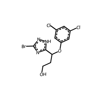 OCCC(Oc1cc(Cl)cc(Cl)c1)c1nc(Br)n[nH]1